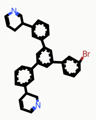 Brc1cccc(-c2cc(-c3cccc(C4C=NC=CC4)c3)cc(-c3cccc(C4C=CC=NC4)c3)c2)c1